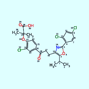 CC(C)c1oc(-c2ccc(Cl)cc2Cl)nc1CCC(=O)c1ccc(OC(C)(C)C(=O)O)c(Cl)c1